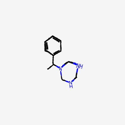 CC(c1ccccc1)N1CNCNC1